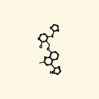 Cc1cc(-c2ncc[nH]2)c2cccc(OCc3c(Sc4nccs4)ccnc3Cl)c2n1